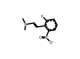 CN(C)/C=C/c1c(F)cccc1[N+](=O)[O-]